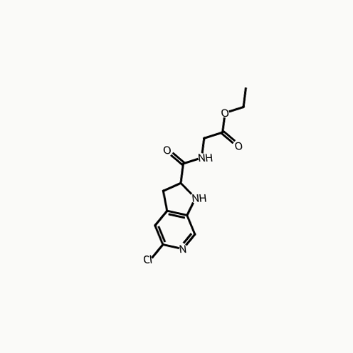 CCOC(=O)CNC(=O)C1Cc2cc(Cl)ncc2N1